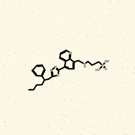 CCCCC(Cc1nnc(-c2ccc(CNCCCP(=O)(O)O)c3ncccc23)o1)c1ccccc1